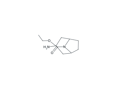 CCOC(=O)N1C2CCC1CC(N)C2